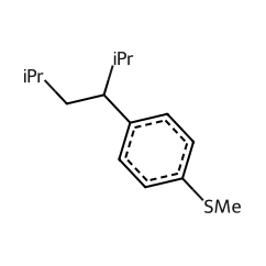 CSc1ccc(C(CC(C)C)C(C)C)cc1